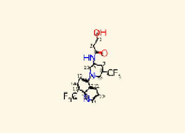 O=C(CCO)NC1CC(C(F)(F)F)CN(c2ccc(C(F)(F)F)c3ncccc23)C1